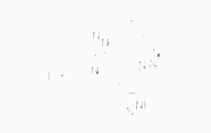 Cc1ccc(Cn2nccc2-c2cc3c(cc2F)nnn3-c2ccc3cn[nH]c3c2)nc1